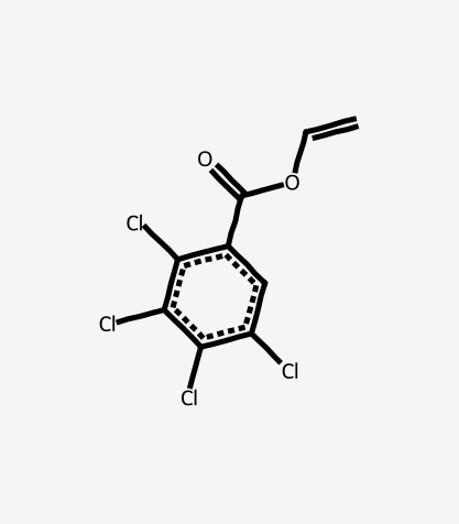 C=COC(=O)c1cc(Cl)c(Cl)c(Cl)c1Cl